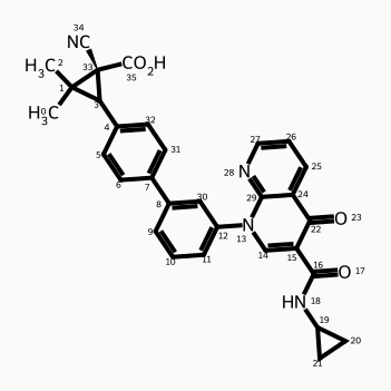 CC1(C)C(c2ccc(-c3cccc(-n4cc(C(=O)NC5CC5)c(=O)c5cccnc54)c3)cc2)[C@@]1(C#N)C(=O)O